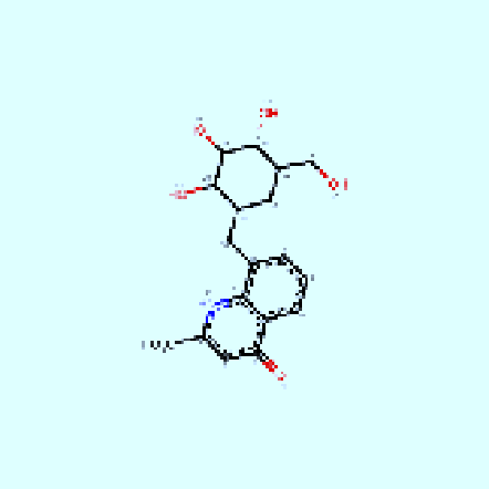 O=C(O)c1cc(=O)c2cccc(C[C@@H]3CC(CO)[C@@H](O)C(O)C3O)c2[nH]1